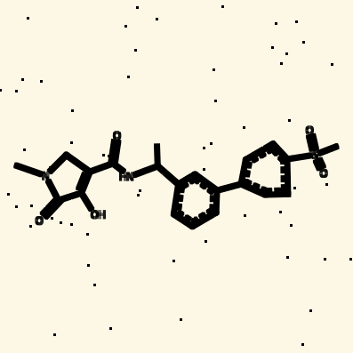 CC(NC(=O)C1=C(O)C(=O)N(C)C1)c1cccc(-c2ccc(S(C)(=O)=O)cc2)c1